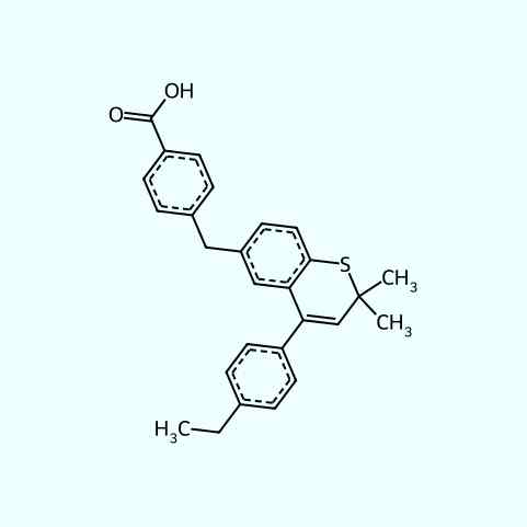 CCc1ccc(C2=CC(C)(C)Sc3ccc(Cc4ccc(C(=O)O)cc4)cc32)cc1